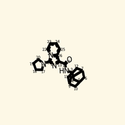 O=C(NC12CC3CC(CC(C3)C1)C2)c1nc(N2CCCC2)n2ccccc12